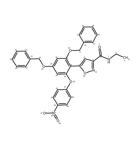 CCNC(=O)c1cc(-c2c(OCc3ccccc3)cc(OCc3ccccc3)cc2Oc2ccc([N+](=O)[O-])cc2)on1